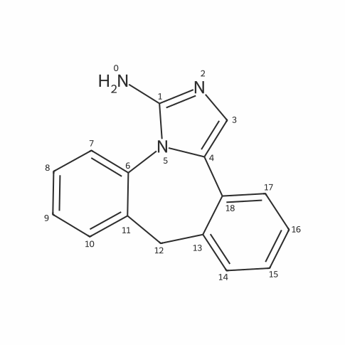 Nc1ncc2n1-c1ccccc1Cc1ccccc1-2